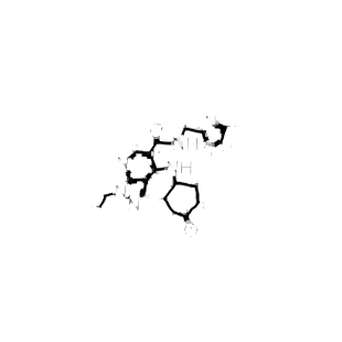 CCn1ncc2c(NC3CCC(=O)CC3)c(C(=O)NCc3nccs3)cnc21